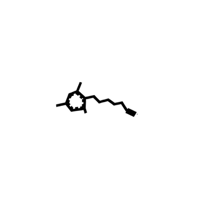 [C]#CCCCCCc1c(C)cc(C)cc1C